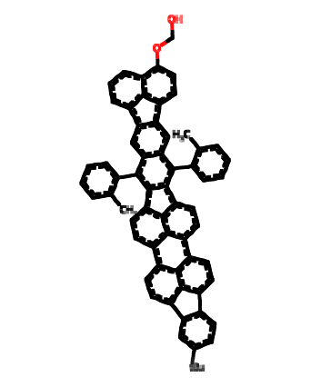 Cc1ccccc1-c1c2cc3c(cc2c(-c2ccccc2C)c2c4ccc5c6ccc7c8c(ccc(c9ccc(c12)c4c95)c86)-c1cc(C(C)(C)C)ccc1-7)c1ccc(OCO)c2cccc3c21